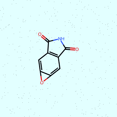 O=c1[nH]c(=O)c2cc3oc3cc12